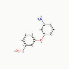 Nc1cccc(Oc2cccc(C=O)c2)c1